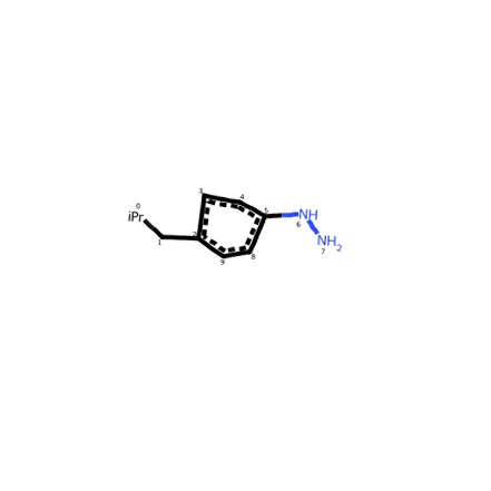 CC(C)Cc1ccc(NN)cc1